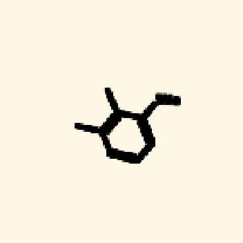 CSc1cc[c]c(C)c1C